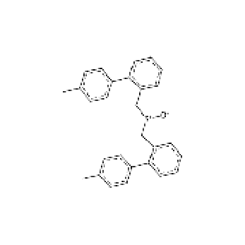 Cc1ccc(-c2ccccc2C[S+]([O-])Cc2ccccc2-c2ccc(C)cc2)cc1